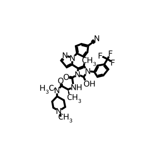 CC1=C(c2ccnn2-c2ccc(C#N)cc2)N(C(=O)N[C@@H](C)C(=O)N(C)C2CCN(C)CC2)C(O)N1c1cccc(C(F)(F)F)c1